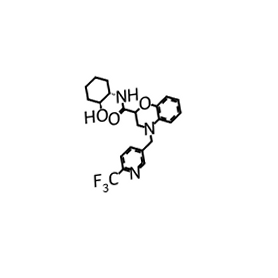 O=C(N[C@H]1CCCC[C@@H]1O)C1CN(Cc2ccc(C(F)(F)F)nc2)c2ccccc2O1